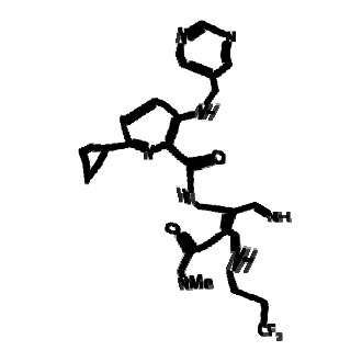 CNC(=O)/C(NCCC(F)(F)F)=C(/C=N)NC(=O)c1nc(C2CC2)ccc1Nc1cncnc1